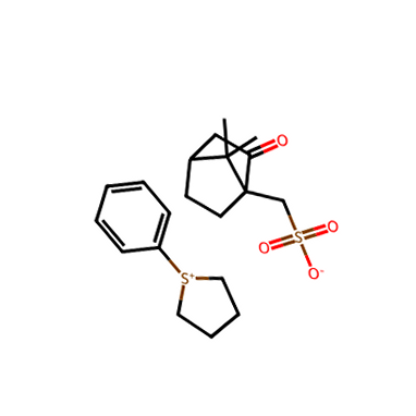 CC1(C)C2CCC1(CS(=O)(=O)[O-])C(=O)C2.c1ccc([S+]2CCCC2)cc1